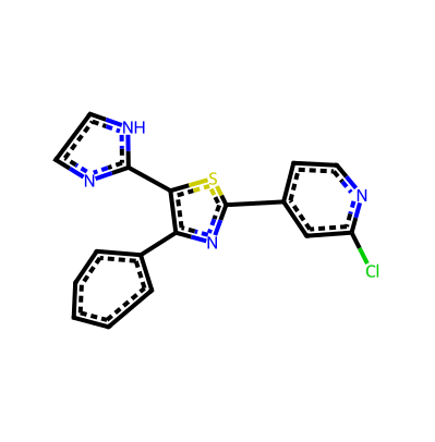 Clc1cc(-c2nc(-c3ccccc3)c(-c3ncc[nH]3)s2)ccn1